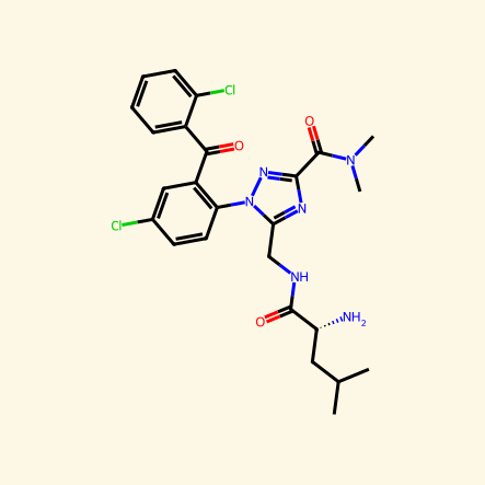 CC(C)C[C@@H](N)C(=O)NCc1nc(C(=O)N(C)C)nn1-c1ccc(Cl)cc1C(=O)c1ccccc1Cl